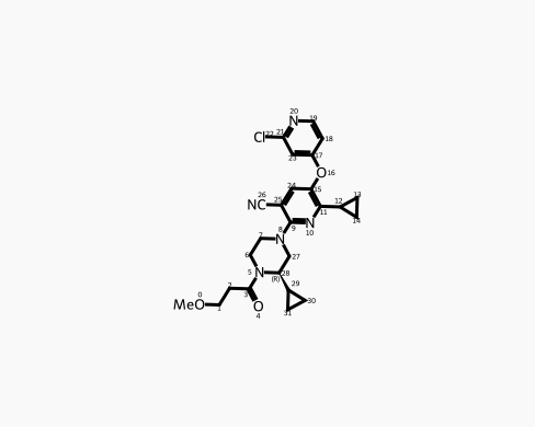 COCCC(=O)N1CCN(c2nc(C3CC3)c(Oc3ccnc(Cl)c3)cc2C#N)C[C@H]1C1CC1